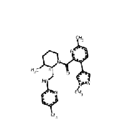 Cc1ccc(-c2cnn(C)c2)c(C(=O)N2CCCC(C)[C@H]2CNc2ccc(C(F)(F)F)cn2)n1